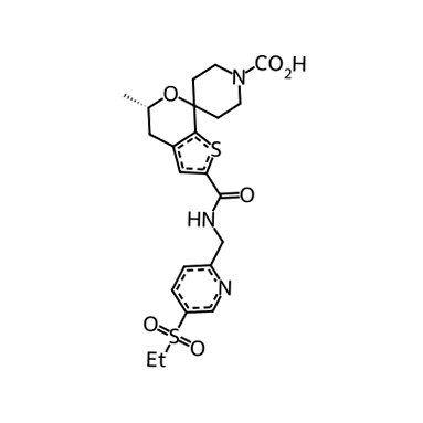 CCS(=O)(=O)c1ccc(CNC(=O)c2cc3c(s2)C2(CCN(C(=O)O)CC2)O[C@@H](C)C3)nc1